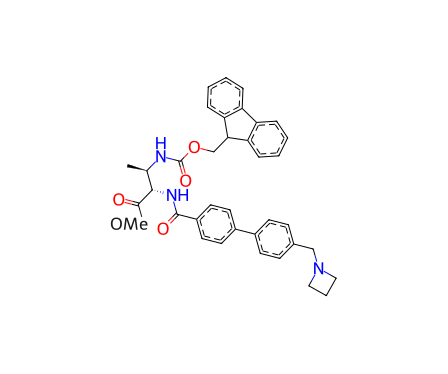 COC(=O)[C@@H](NC(=O)c1ccc(-c2ccc(CN3CCC3)cc2)cc1)[C@@H](C)NC(=O)OCC1c2ccccc2-c2ccccc21